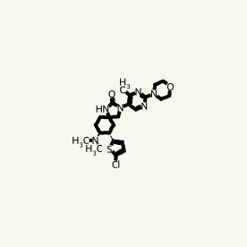 Cc1nc(N2CCOCC2)ncc1N1CC2(CC[C@@H](N(C)C)[C@@H](c3ccc(Cl)s3)C2)NC1=O